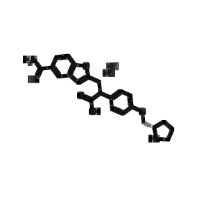 Cl.Cl.N=C(N)c1ccc2oc(CC(C(=O)O)c3ccc(OC[C@@H]4CCCN4)cc3)cc2c1